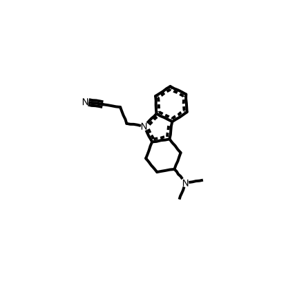 CN(C)C1CCc2c(c3ccccc3n2CCC#N)C1